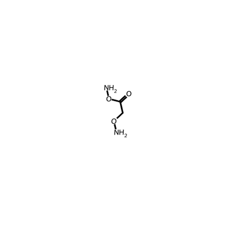 NOCC(=O)ON